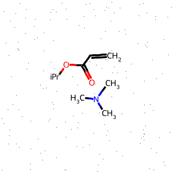 C=CC(=O)OC(C)C.CN(C)C